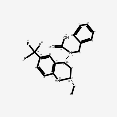 CC[C@H]1C[C@@H](N(Cc2ccccc2)C(=O)O)c2cc(C(F)(F)F)ccc2N1